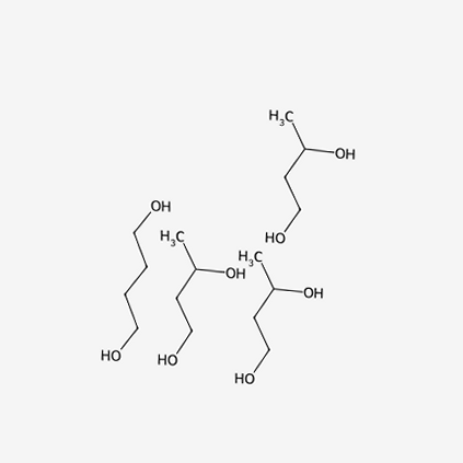 CC(O)CCO.CC(O)CCO.CC(O)CCO.OCCCCO